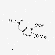 COc1ccc(CN(C)Br)cc1OC